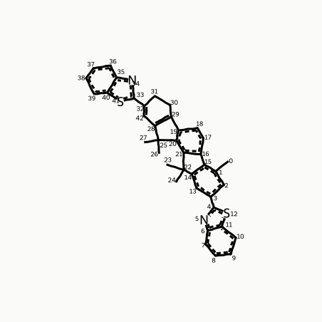 Cc1cc(-c2nc3ccccc3s2)cc2c1-c1ccc3c(c1C2(C)C)C(C)(C)C1=C3CCC(c2nc3ccccc3s2)=C1